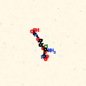 Cc1c(COc2cc(OCc3cncc(S(C)(=O)=O)c3)c(CN)cc2Cl)cccc1-c1cccc(OCCCN2CC[C@@H](C(=O)O)C2)c1C